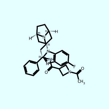 CC(=O)N1CC(C(=O)N[C@@H](CCN2[C@@H]3CC[C@H]2C[C@H](n2cnc4cc(F)ccc42)C3)c2ccccc2)C1